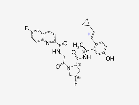 C[C@H](NC(=O)[C@@H]1C[C@@H](F)CN1C(=O)CNC(=O)c1ccc2cc(F)ccc2n1)c1cc(O)ccc1/C=C/C1CC1